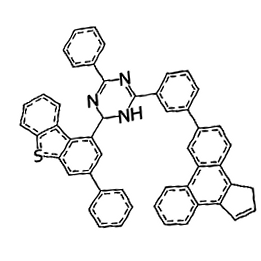 C1=Cc2c(c3ccc(-c4cccc(C5=NC(c6ccccc6)=NC(c6cc(-c7ccccc7)cc7sc8ccccc8c67)N5)c4)cc3c3ccccc23)C1